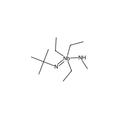 C[CH2][Nb]([CH2]C)([CH2]C)(=[N]C(C)(C)C)[NH]C